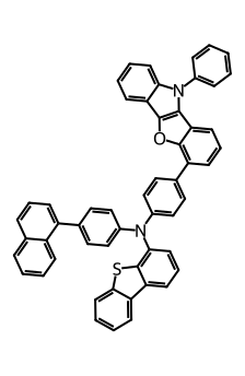 c1ccc(-n2c3ccccc3c3oc4c(-c5ccc(N(c6ccc(-c7cccc8ccccc78)cc6)c6cccc7c6sc6ccccc67)cc5)cccc4c32)cc1